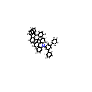 C1=CC(c2cc(-c3ccccc3)cc(N(c3ccccc3)c3cccc(C4(c5ccccc5)c5ccccc5C5(c6ccccc6)c6ccccc6-c6cccc4c65)c3)c2)CCC1